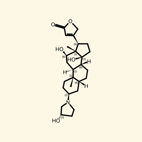 C[C@]12CC[C@H](N3CC[C@H](O)C3)C[C@H]1CC[C@@H]1[C@@H]2C[C@@H](O)[C@]2(C)[C@@H](C3=CC(=O)OC3)CC[C@]12O